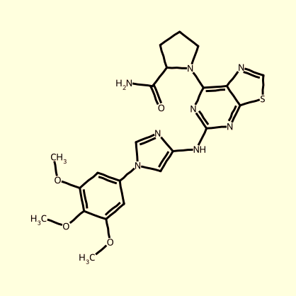 COc1cc(-n2cnc(Nc3nc(N4CCCC4C(N)=O)c4ncsc4n3)c2)cc(OC)c1OC